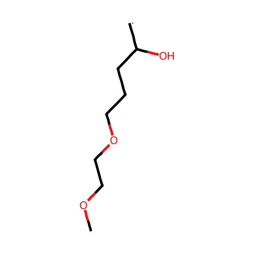 [CH2]C(O)CCCOCCOC